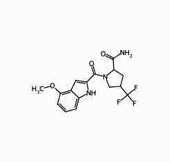 COc1cccc2[nH]c(C(=O)N3CC(C(F)(F)F)CC3C(N)=O)cc12